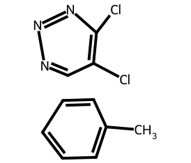 Cc1ccccc1.Clc1cnnnc1Cl